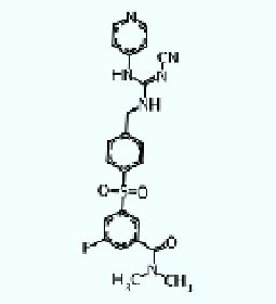 CN(C)C(=O)c1cc(F)cc(S(=O)(=O)c2ccc(CNC(=NC#N)Nc3ccncc3)cc2)c1